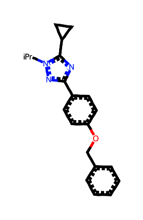 CC(C)n1nc(-c2ccc(OCc3ccccc3)cc2)nc1C1CC1